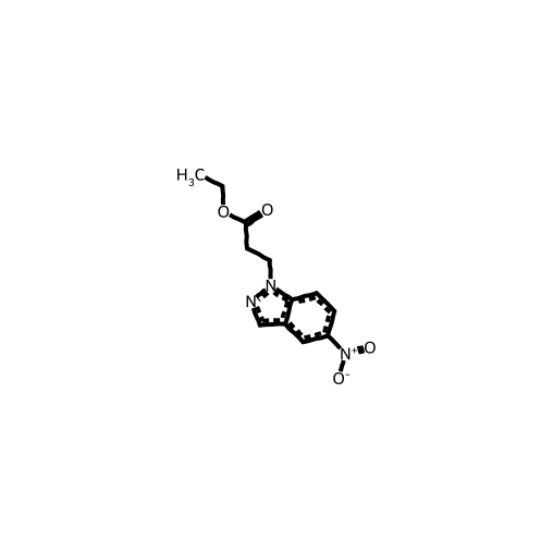 CCOC(=O)CCn1ncc2cc([N+](=O)[O-])ccc21